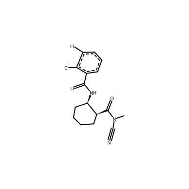 CN(C#N)C(=O)[C@H]1CCCC[C@H]1NC(=O)c1cccc(Cl)c1Cl